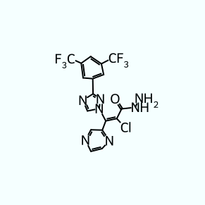 NNC(=O)C(Cl)=C(c1cnccn1)n1cnc(-c2cc(C(F)(F)F)cc(C(F)(F)F)c2)n1